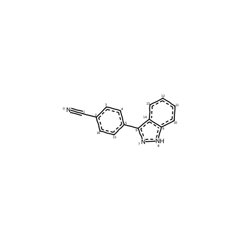 N#Cc1ccc(-c2n[nH]c3ccccc23)cc1